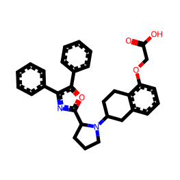 O=C(O)COc1cccc2c1CCC(N1CCCC1c1nc(-c3ccccc3)c(-c3ccccc3)o1)C2